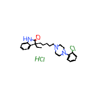 CCC1(CCCCCN2CCN(c3ccccc3Cl)CC2)C(=O)Nc2ccccc21.Cl